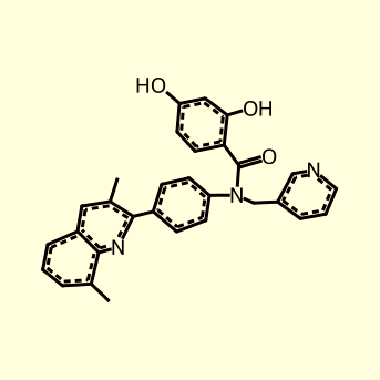 Cc1cc2cccc(C)c2nc1-c1ccc(N(Cc2cccnc2)C(=O)c2ccc(O)cc2O)cc1